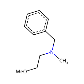 [CH2]OCCN(C)Cc1ccccc1